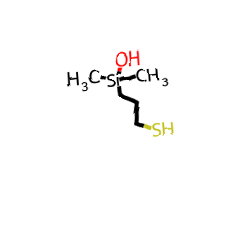 C[Si](C)(O)CCCS